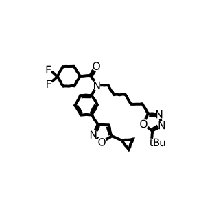 CC(C)(C)c1nnc(CCCCCN(C(=O)C2CCC(F)(F)CC2)c2cccc(-c3cc(C4CC4)on3)c2)o1